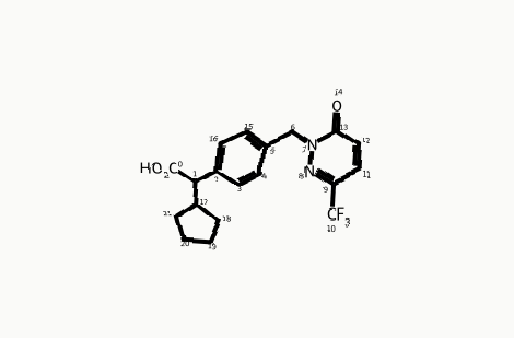 O=C(O)C(c1ccc(Cn2nc(C(F)(F)F)ccc2=O)cc1)C1CCCC1